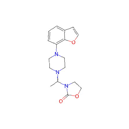 CC(N1CCN(c2cccc3ccoc23)CC1)N1CCOC1=O